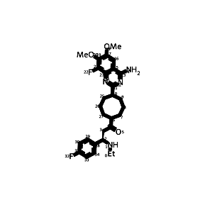 CCN[C@H](CC(=O)C1CCCC(c2nc(N)c3cc(OC)c(OC)c(F)c3n2)CCC1)c1ccc(F)cc1